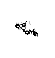 Cc1ccc(C(NC(=O)Cc2ccc3oc(C(CO)c4ccncc4)cc3c2)c2ccccc2)c(C)c1